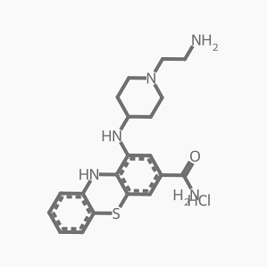 Cl.NCCN1CCC(Nc2cc(C(N)=O)cc3c2Nc2ccccc2S3)CC1